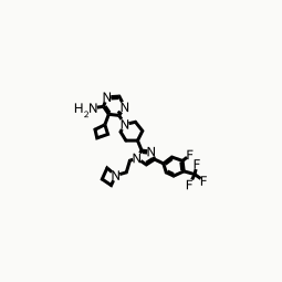 Nc1ncnc(N2CCC(c3nc(-c4ccc(C(F)(F)F)c(F)c4)cn3CCN3CCC3)CC2)c1C1CCC1